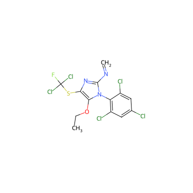 C=Nc1nc(SC(F)(Cl)Cl)c(OCC)n1-c1c(Cl)cc(Cl)cc1Cl